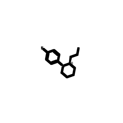 CCC[C@H]1CCC[CH]N1c1ccc(F)cc1